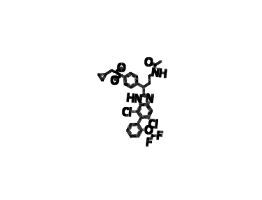 CC(=O)NCCC(c1ccc(S(=O)(=O)CC2CC2)cc1)c1nc2cc(Cl)c(-c3ccccc3OC(F)F)c(Cl)c2[nH]1